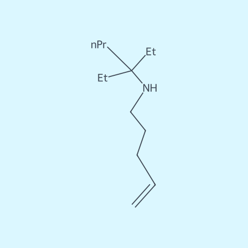 C=CCCCNC(CC)(CC)CCC